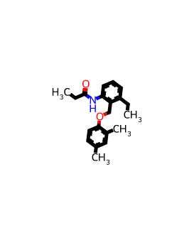 CCC(=O)Nc1cccc(CC)c1COc1ccc(C)cc1C